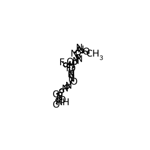 CCOc1cc(-c2ccc(N3CCC(COCCN4CCN(C(=O)CCN5CCN(c6ccc7c(c6)CN(C6CCC(=O)NC6=O)C7=O)CC5)CC4)(NC(=O)c4cc(F)ccc4F)CC3)nc2)c2c(C#N)cnn2c1